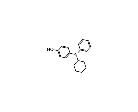 Oc1ccc(N(c2ccccc2)C2CCCCC2)cc1